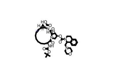 CC(C)(C)OC(=O)N[C@H]1CCCCC/C=C\[C@@H]2C[C@@]2(C(=O)O)NC(=O)[C@@H]2C[C@@H](OC(=O)N3CCc4ccccc4C3CN3CCOCC3)CN2C1=O